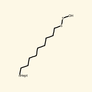 CCCCCCCCCCCCCCCCSSO